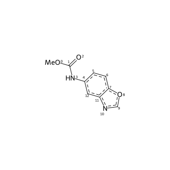 COC(=O)Nc1ccc2ocnc2c1